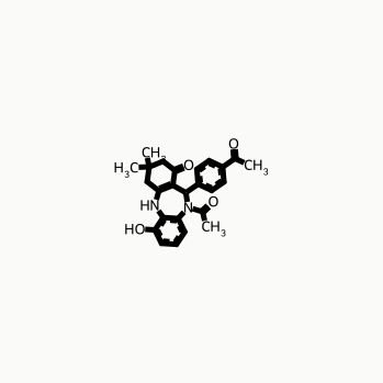 CC(=O)c1ccc(C2C3=C(CC(C)(C)CC3=O)Nc3c(O)cccc3N2C(C)=O)cc1